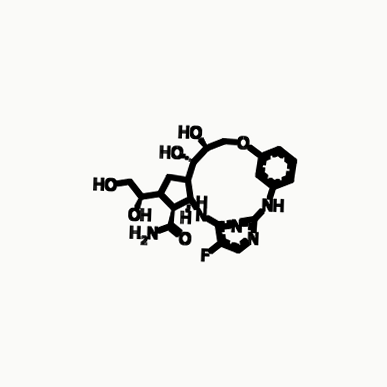 NC(=O)[C@H]1C([C@@H](O)CO)CC2[C@H]1Nc1nc(ncc1F)Nc1cccc(c1)OC[C@H](O)[C@H]2O